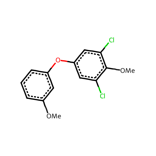 COc1cccc(Oc2cc(Cl)c(OC)c(Cl)c2)c1